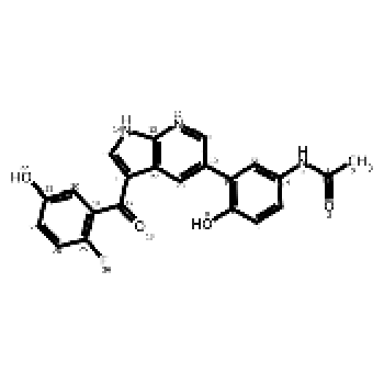 CC(=O)Nc1ccc(O)c(-c2cnc3[nH]cc(C(=O)c4cc(O)ccc4F)c3c2)c1